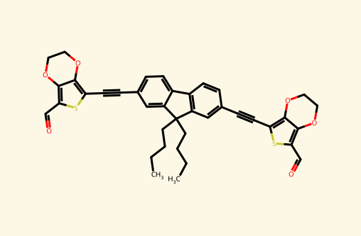 CCCCC1(CCCC)c2cc(C#Cc3sc(C=O)c4c3OCCO4)ccc2-c2ccc(C#Cc3sc(C=O)c4c3OCCO4)cc21